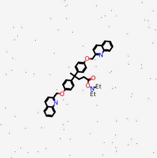 CCN(CC)OC(=O)CCC(C)(c1ccc(OCc2ccc3ccccc3n2)cc1)c1ccc(OCc2ccc3ccccc3n2)cc1